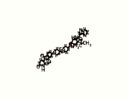 CC(C)Oc1cc2nn(C3CCN(CC4(F)CCN(c5ccc6c(c5)C(=O)N(C5CCC(=O)NC5=O)C6=O)CC4)CC3)cc2cc1NC(=O)c1cnn2cccnc12